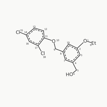 CCOc1cc(CO)cc(COc2ccc(Cl)cc2Cl)c1